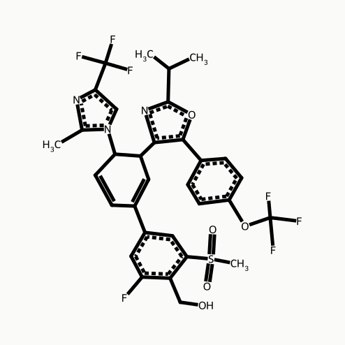 Cc1nc(C(F)(F)F)cn1C1C=CC(c2cc(F)c(CO)c(S(C)(=O)=O)c2)=CC1c1nc(C(C)C)oc1-c1ccc(OC(F)(F)F)cc1